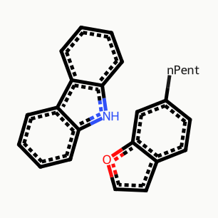 CCCCCc1ccc2ccoc2c1.c1ccc2c(c1)[nH]c1ccccc12